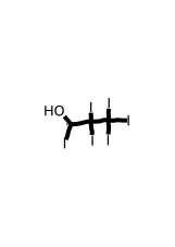 O[C](I)C(I)(I)C(I)(I)I